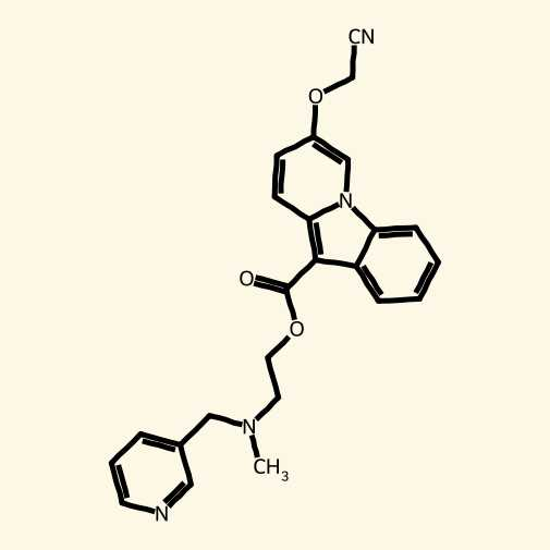 CN(CCOC(=O)c1c2ccccc2n2cc(OCC#N)ccc12)Cc1cccnc1